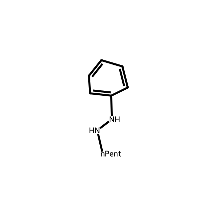 CCCCCNNc1ccccc1